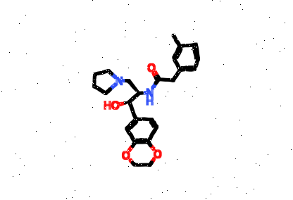 Cc1cccc(CC(=O)N[C@H](CN2CCCC2)[C@H](O)c2ccc3c(c2)OCCO3)c1